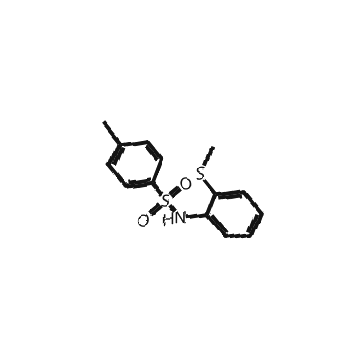 CSc1ccccc1NS(=O)(=O)c1ccc(C)cc1